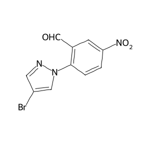 O=Cc1cc([N+](=O)[O-])ccc1-n1cc(Br)cn1